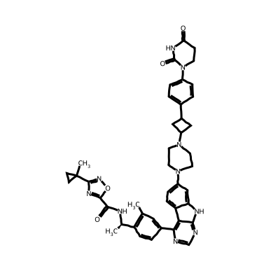 Cc1cc(-c2ncnc3[nH]c4cc(N5CCN(C6CC(c7ccc(N8CCC(=O)NC8=O)cc7)C6)CC5)ccc4c23)ccc1[C@@H](C)NC(=O)c1nc(C2(C)CC2)no1